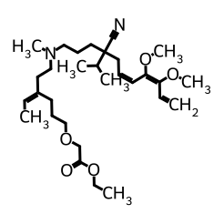 C=C/C(OC)=C(\C=C/CC(C#N)(CCCN(C)CC/C(=C/C)CCCOCC(=O)OCC)C(C)C)OC